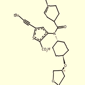 CC1=CCC(C(=O)N(c2cc(C#CC(C)(C)C)sc2C(=O)O)[C@H]2CC[C@H](O[C@H]3CCOC3)CC2)CC1